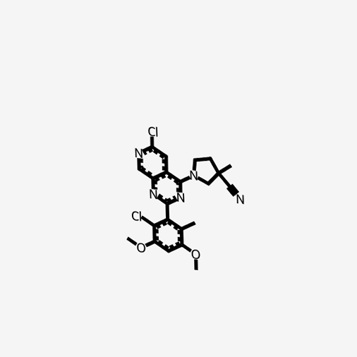 COc1cc(OC)c(Cl)c(-c2nc(N3CCC(C)(C#N)C3)c3cc(Cl)ncc3n2)c1C